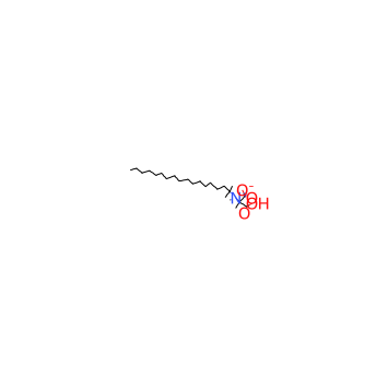 CCCCCCCCCCCCCCCCC(C)(C)[N+](C)(C)C(C)(C(=O)[O-])C(=O)O